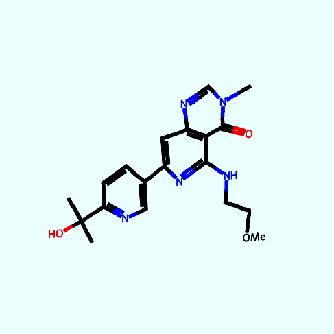 COCCNc1nc(-c2ccc(C(C)(C)O)nc2)cc2ncn(C)c(=O)c12